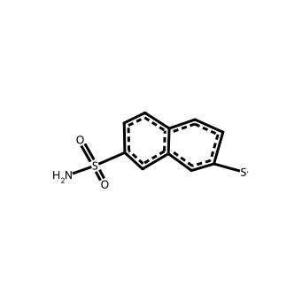 NS(=O)(=O)c1ccc2ccc([S])cc2c1